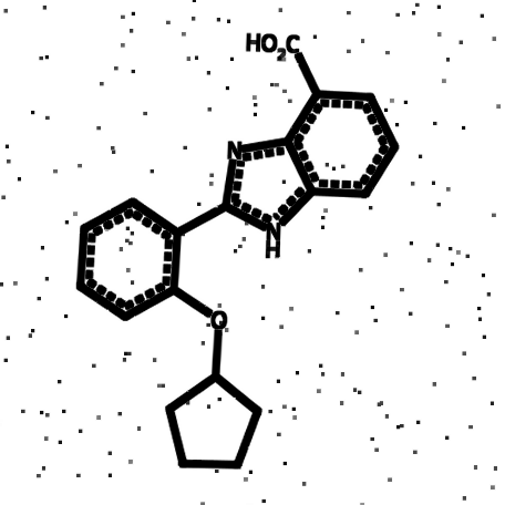 O=C(O)c1cccc2[nH]c(-c3ccccc3OC3CCCC3)nc12